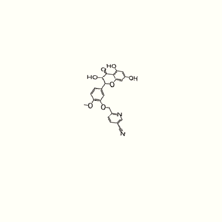 COc1ccc(C2Oc3cc(O)cc(O)c3C(=O)C2O)cc1OCc1ccc(C#N)cn1